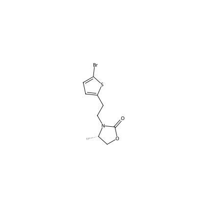 C[C@H]1COC(=O)N1CCc1ccc(Br)s1